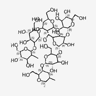 CC1C(O)[C@H](O)[C@H](CO)O[C@H]1OC1[C@@H](OCC2O[C@@H](O[C@@H]3C(CO)O[C@@H](O[C@@H]4C(CO)O[C@@H](C)C(C)[C@H]4O)[C@@H](C)C3O)[C@H](O)C(O[C@H]3O[C@H](CO)[C@@H](O)C(O)C3O[C@@H]3OC(CO)[C@@H](O)C(O)[C@@H]3C)[C@@H]2O)OC(CO)[C@@H](O)[C@@H]1O